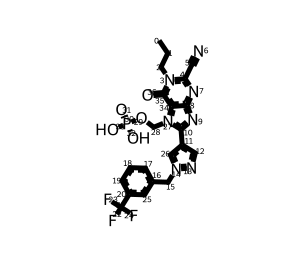 CCCn1c(C#N)nc2nc(-c3cnn(Cc4cccc(C(F)(F)F)c4)c3)n(COP(=O)(O)O)c2c1=O